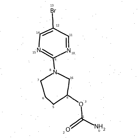 NC(=O)OC1CCCN(c2ncc(Br)cn2)C1